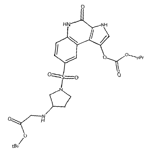 CCCOC(=O)Oc1c[nH]c2c(=O)[nH]c3ccc(S(=O)(=O)N4CCC(NCC(=O)OC(C)(C)C)C4)cc3c12